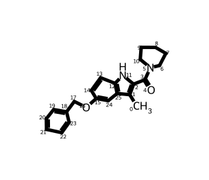 Cc1c(C(=O)N2CCCCC2)[nH]c2ccc(OCc3ccccc3)cc12